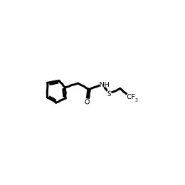 O=C(Cc1ccccc1)NSCC(F)(F)F